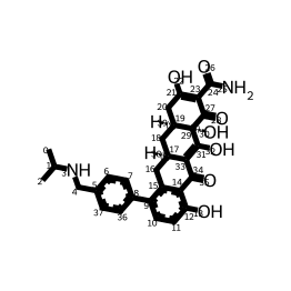 CC(C)NCc1ccc(-c2ccc(O)c3c2C[C@H]2C[C@H]4CC(O)=C(C(N)=O)C(=O)[C@@]4(O)C(O)=C2C3=O)cc1